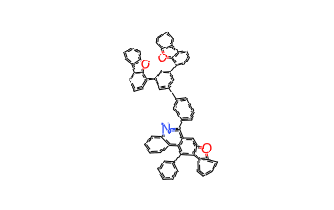 c1ccc(-c2c3c(cc4c(-c5cccc(-c6cc(-c7cccc8c7oc7ccccc78)cc(-c7cccc8c7oc7ccccc78)c6)c5)nc5ccccc5c24)oc2ccccc23)cc1